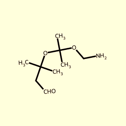 CC(C)(CC=O)OC(C)(C)OCN